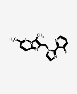 Cc1ccc2nc(Cn3ccnc3-c3ncccc3F)c(C)n2n1